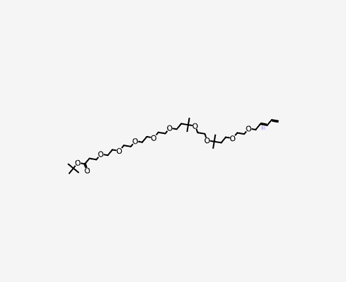 C=C/C=C/COCCOCCC(C)(C)OCCOC(C)(C)CCOCCOCCOCCOCCOCCC(=O)OC(C)(C)C